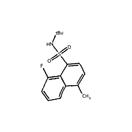 Cc1ccc(S(=O)(=O)NC(C)(C)C)c2c(F)cccc12